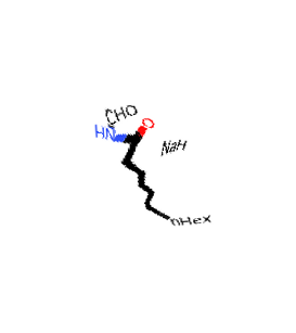 CCCCCCCCCCCC(=O)NC=O.[NaH]